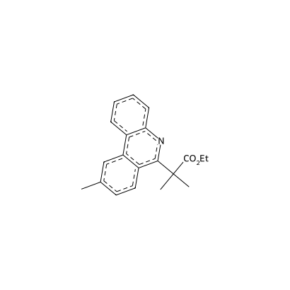 CCOC(=O)C(C)(C)c1nc2ccccc2c2cc(C)ccc12